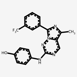 Cc1nc(-c2cccc(C(F)(F)F)c2)n2nc(Nc3ccc(O)cc3)ncc12